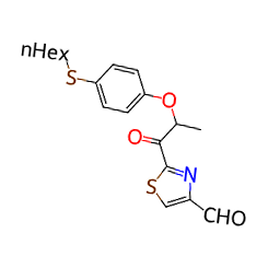 CCCCCCSc1ccc(OC(C)C(=O)c2nc(C=O)cs2)cc1